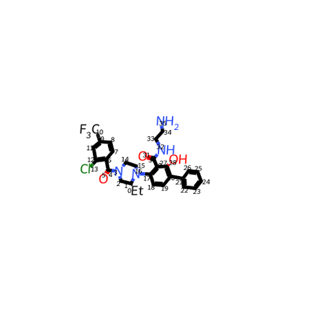 CC[C@@H]1CN(C(=O)c2ccc(C(F)(F)F)cc2Cl)CCN1c1ccc(-c2ccccc2)c(O)c1C(=O)NCCN